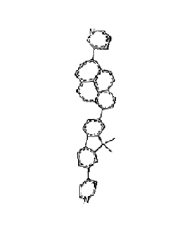 CC1(C)c2cc(-c3ccncc3)ccc2-c2ccc(-c3ccc4ccc5c(-c6cccnc6)ccc6ccc3c4c65)cc21